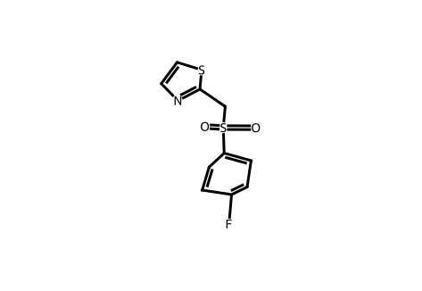 O=S(=O)(Cc1nccs1)c1ccc(F)cc1